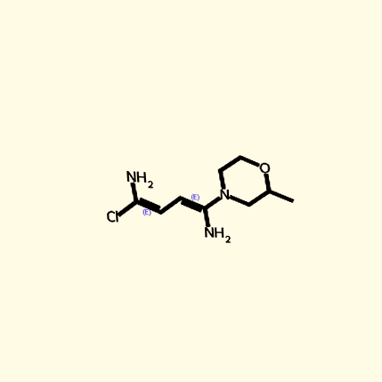 CC1CN(/C(N)=C/C=C(\N)Cl)CCO1